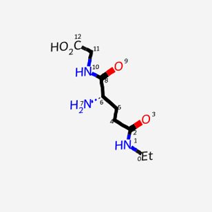 CCNC(=O)CC[C@H](N)C(=O)NCC(=O)O